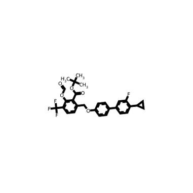 CC(C)(C)OC(=O)c1c(COc2ccc(-c3ccc(C4CC4)c(F)c3)cc2)ccc(C(F)(F)F)c1OC=O